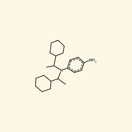 CC(C1CCCCC1)N(c1ccc(N)cc1)C(C)C1CCCCC1